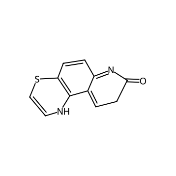 O=C1CC=c2c3c(ccc2=N1)SC=CN3